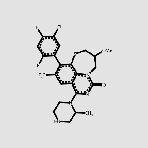 COC1CSc2c(-c3cc(Cl)c(F)cc3F)c(C(F)(F)F)cc3c(N4CCNCC4C)nc(=O)n(c23)C1